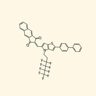 O=C1C(=Cc2cc3sc(-c4ccc(-c5ccccc5)cc4)cc3n2CCC(F)(F)C(F)(F)C(F)(F)C(F)(F)F)C(=O)c2cc3ccccc3cc21